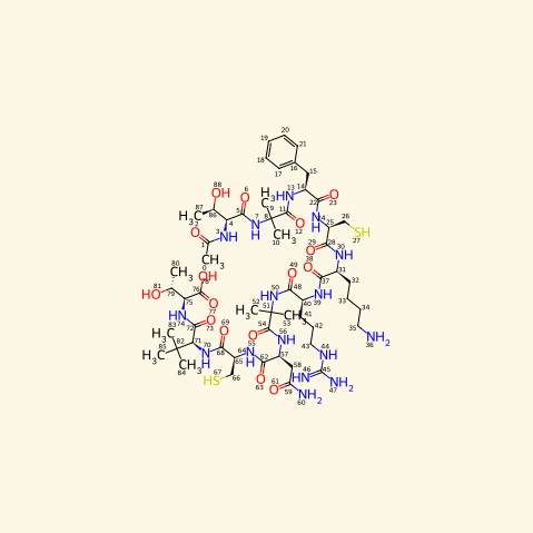 CC(=O)N[C@H](C(=O)NC(C)(C)C(=O)N[C@@H](Cc1ccccc1)C(=O)N[C@@H](CS)C(=O)N[C@@H](CCCCN)C(=O)N[C@@H](CCCNC(=N)N)C(=O)NC(C)(C)C(=O)N[C@@H](CC(N)=O)C(=O)N[C@@H](CS)C(=O)N[C@H](C(=O)N[C@H](C(=O)O)[C@@H](C)O)C(C)(C)C)[C@@H](C)O